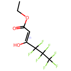 CCOC(=O)/C=C(\O)C(F)(F)C(F)(F)C(F)(F)F